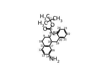 CC(C)(C)OC(=O)NC1CCc2ccc(N)cc2C1Cc1ccccc1